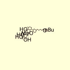 CCCCOCCCCCC1CCC(OC)C(C2CCC(C)C3C(O)C4C(C)C5(C)C(O)C(C(C)O)C(O)CC5(C)CC4(C)CC23)C1